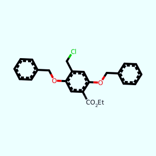 CCOC(=O)c1cc(OCc2ccccc2)c(CCl)cc1OCc1ccccc1